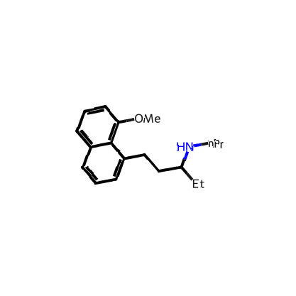 CCCNC(CC)CCc1cccc2cccc(OC)c12